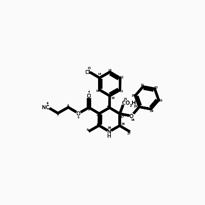 CC1=C(C(=O)OCCC#N)C(c2cccc(Cl)c2)C(Oc2ccccc2)(C(=O)O)C(C)N1